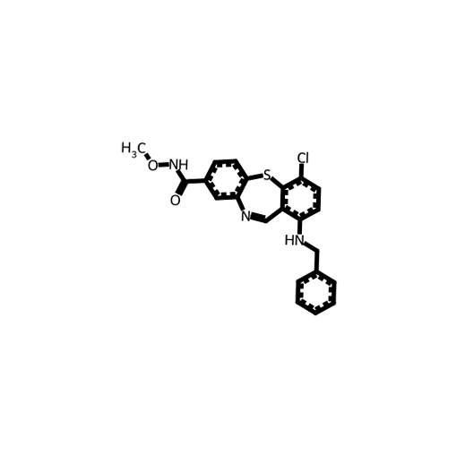 CONC(=O)c1ccc2c(c1)N=Cc1c(NCc3ccccc3)ccc(Cl)c1S2